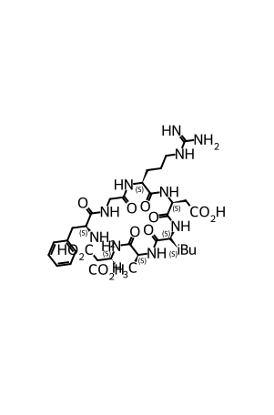 CC[C@H](C)[C@H](NC(=O)[C@H](CC(=O)O)NC(=O)[C@H](CCCNC(=N)N)NC(=O)CNC(=O)[C@@H](N)Cc1ccccc1)C(=O)N[C@@H](C)C(=O)N[C@@H](CC(=O)O)C(=O)O